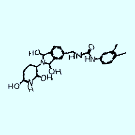 Cc1ccc(NC(=O)NCc2ccc3c(c2)C(O)N(C2CCC(O)NC2O)C3O)cc1C